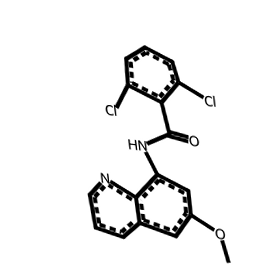 COc1cc(NC(=O)c2c(Cl)cccc2Cl)c2ncccc2c1